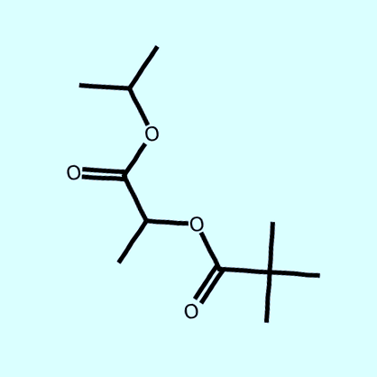 CC(C)OC(=O)C(C)OC(=O)C(C)(C)C